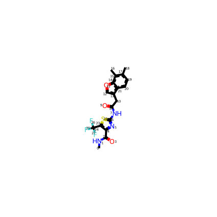 CNC(=O)c1nc(NC(=O)Cc2coc3c(C)c(C)ccc23)sc1C(F)(F)F